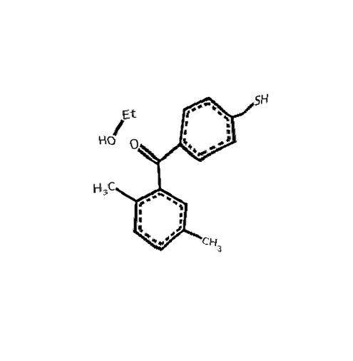 CCO.Cc1ccc(C)c(C(=O)c2ccc(S)cc2)c1